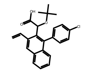 C=Cc1cc2ccccc2c(-c2ccc(Cl)cc2)c1C(OC(C)(C)C)C(=O)O